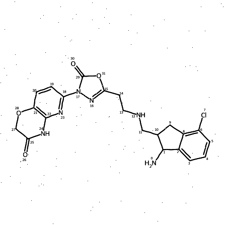 NC1c2cccc(Cl)c2CC1CNCCc1nn(-c2ccc3c(n2)NC(=O)CO3)c(=O)o1